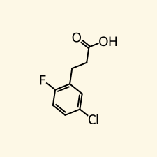 O=C(O)CCc1cc(Cl)ccc1F